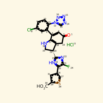 Cl.O=C1C=C(c2cc(Cl)ccc2-n2cnnn2)C2=C(C1)[C@H](c1nc(F)c(-c3csc(C(=O)O)c3)[nH]1)CN2